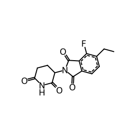 CCc1ccc2c(c1F)C(=O)N(C1CCC(=O)NC1=O)C2=O